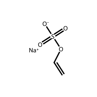 C=COS(=O)(=O)[O-].[Na+]